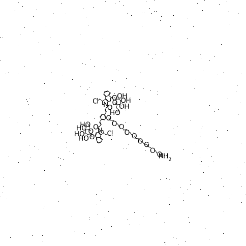 NOCCOCCOCCOCCOCCOCCOCCOCCOc1cc(/C=C/C(=O)N2C[C@@H](CCl)c3c2cc(O[C@@H]2O[C@H](CO)[C@@H](O)[C@H](O)[C@H]2O)c2ccccc32)ccc1/C=C/C(=O)N1C[C@@H](CCl)c2c1cc(O[C@@H]1O[C@H](CCO)[C@@H](O)[C@H](O)[C@H]1O)c1ccccc21